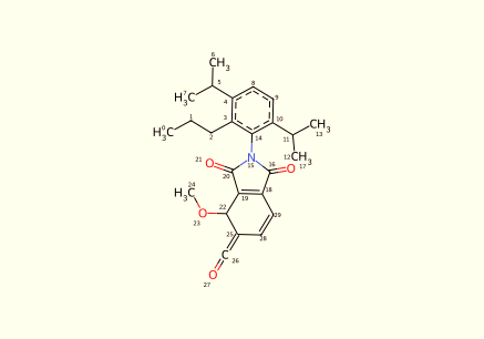 CCCc1c(C(C)C)ccc(C(C)C)c1N1C(=O)C2=C(C1=O)C(OC)C(=C=O)C=C2